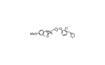 COc1ccc(NC(=O)N(C)CC2CC(Oc3cccc(CN4CCCC4)c3Cl)C2)c(C)c1